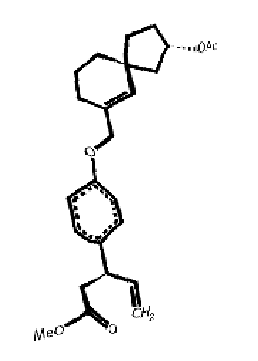 C=C[C@@H](CC(=O)OC)c1ccc(OCC2=C[C@]3(CCC2)CC[C@H](OC(C)=O)C3)cc1